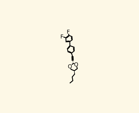 CCCC[C@H]1CO[C@H](C#Cc2ccc(-c3ccc(F)c(F)c3)cc2)OC1